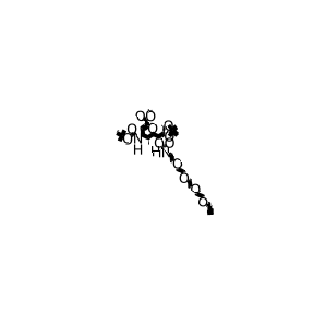 C#CCOCCOCCOCCOCCNC(=O)O[C@@H]([C@@H]1OC(C(=O)OC)=C[C@H](NC(=O)OC(C)(C)C)[C@H]1C)[C@H]1COC(C)(C)O1